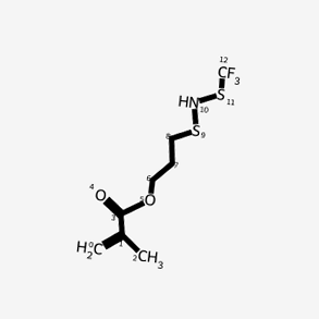 C=C(C)C(=O)OCCCSNSC(F)(F)F